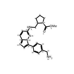 COC(=O)N1CCCC1CNc1ccc2ncc(-c3ccc(CN)cc3)n2n1